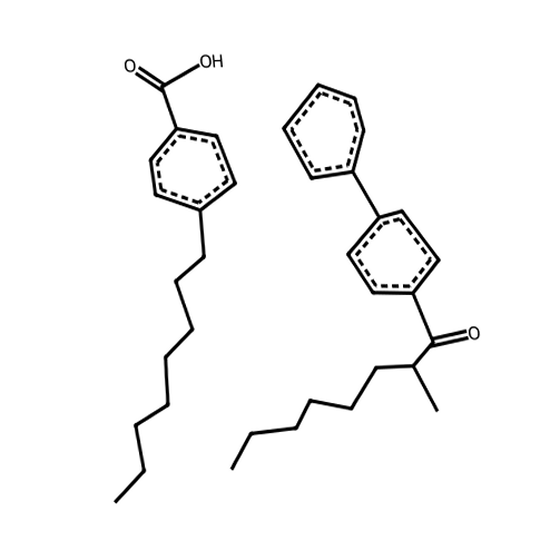 CCCCCCC(C)C(=O)c1ccc(-c2ccccc2)cc1.CCCCCCCCc1ccc(C(=O)O)cc1